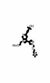 COCCn1cc(-c2cnn(COCC[SH](C)(C)(C)C)c2)c2cc(C#CC(C)(C)O)ncc21